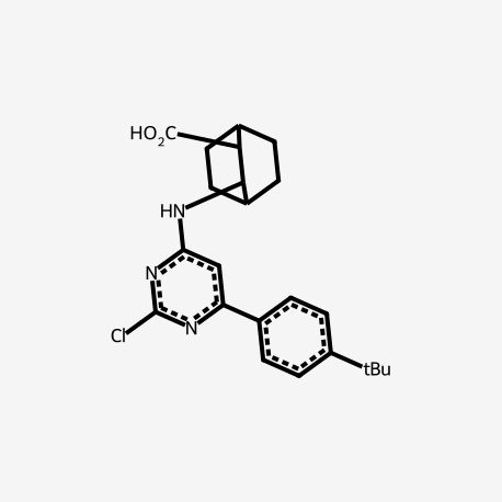 CC(C)(C)c1ccc(-c2cc(NC3C4CCC(CC4)C3C(=O)O)nc(Cl)n2)cc1